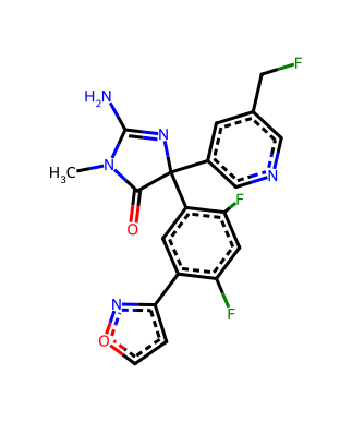 CN1C(=O)C(c2cncc(CF)c2)(c2cc(-c3ccon3)c(F)cc2F)N=C1N